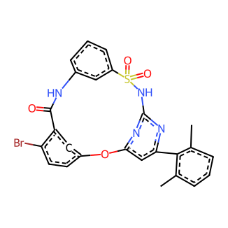 Cc1cccc(C)c1-c1cc2nc(n1)NS(=O)(=O)c1cccc(c1)NC(=O)c1cc(ccc1Br)O2